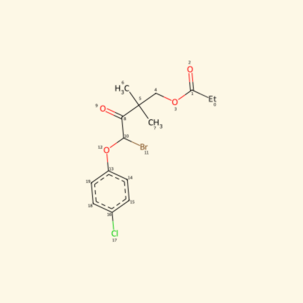 CCC(=O)OCC(C)(C)C(=O)C(Br)Oc1ccc(Cl)cc1